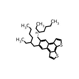 CCCCC(CC)Cc1cc2c(cc1C[C@H](CC)CCCC)c1ccsc1c1sccc21